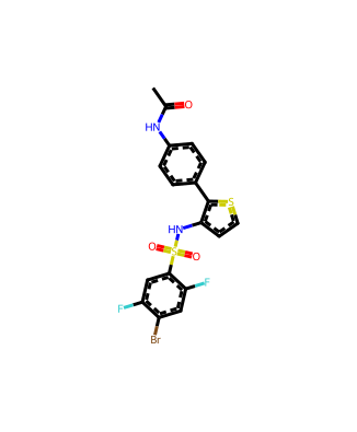 CC(=O)Nc1ccc(-c2sccc2NS(=O)(=O)c2cc(F)c(Br)cc2F)cc1